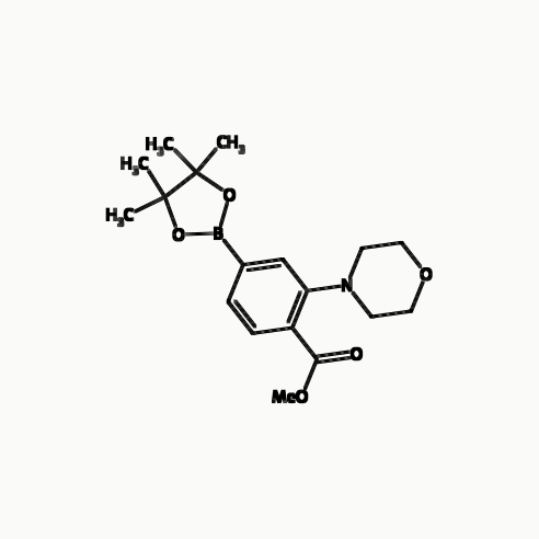 COC(=O)c1ccc(B2OC(C)(C)C(C)(C)O2)cc1N1CCOCC1